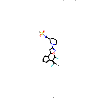 C=C(F)/C(=C(\C)F)c1ccccc1C1CC(N2CCCC(C#[N+]S(C)(=O)=O)C2)=NO1